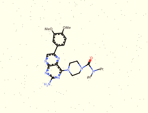 COc1ccc(-c2cnc3nc(N)nc(N4CCN(C(=O)N(C(C)C)C(C)C)CC4)c3n2)cc1OC